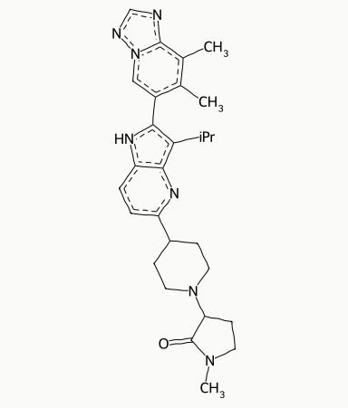 Cc1c(-c2[nH]c3ccc(C4CCN(C5CCN(C)C5=O)CC4)nc3c2C(C)C)cn2ncnc2c1C